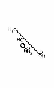 CCCCCCC(O)CCCCCCCCCCC(=O)O.NC(=O)c1ccccc1